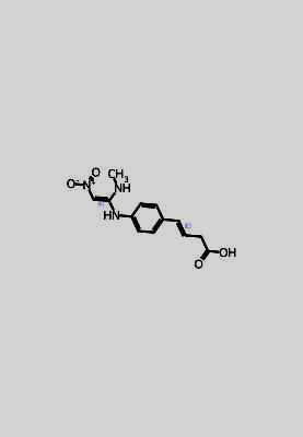 CN/C(=C\[N+](=O)[O-])Nc1ccc(/C=C/CC(=O)O)cc1